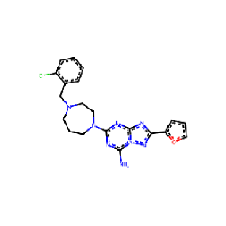 Nc1nc(N2CCCN(Cc3ccccc3Cl)CC2)nc2nc(-c3ccco3)nn12